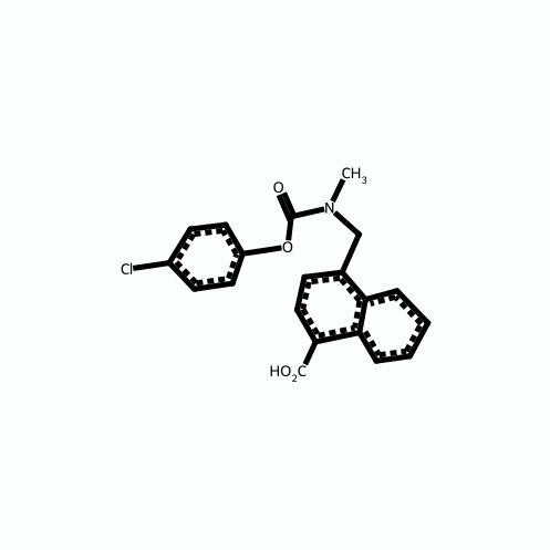 CN(Cc1ccc(C(=O)O)c2ccccc12)C(=O)Oc1ccc(Cl)cc1